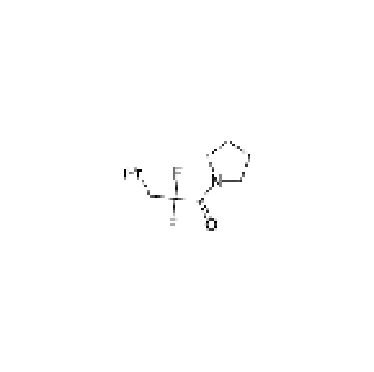 CC(C)CC(F)(F)C(=O)N1CCCC1